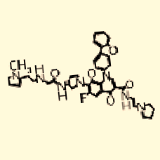 CN1CCCC1CCNCC(=O)N[C@@H]1CCN(c2c(F)cc3c(=O)c(C(=O)NCCN4CCCC4)cn4c3c2Oc2cc3c(cc2-4)oc2ccccc23)C1